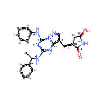 CC(Nc1nc(Nc2ccccc2)n2ncc(/C=C3\CC(=O)NC3=O)c2n1)c1ccccc1